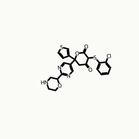 O=C1CC(c2cnc(C3CNCCO3)nc2)(c2ccsc2)OC(=O)C1Sc1ccccc1Cl